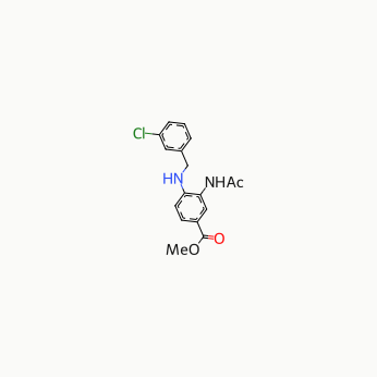 COC(=O)c1ccc(NCc2cccc(Cl)c2)c(NC(C)=O)c1